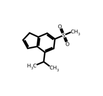 CC(C)c1cc(S(C)(=O)=O)cc2c1C=CC2